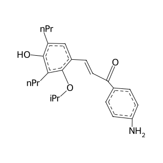 CCCc1cc(C=CC(=O)c2ccc(N)cc2)c(OC(C)C)c(CCC)c1O